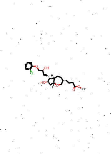 CC(C)OC(=O)CCC[C@H]1CC[C@@H]2[C@@H](C=C[C@@H](O)COc3ccccc3Cl)[C@H](O)C[C@@H]2OC1